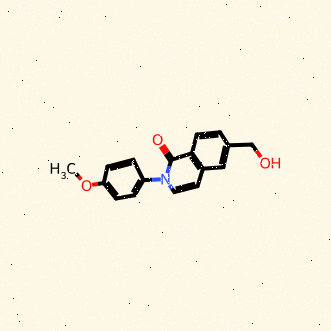 COc1ccc(-n2ccc3cc(CO)ccc3c2=O)cc1